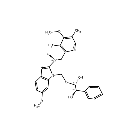 COc1ccc2nc([S@@+]([O-])Cc3ncc(C)c(OC)c3C)n(CO[C@H](O)[C@H](O)c3ccccc3)c2c1